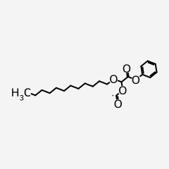 CCCCCCCCCCCCOC(O[C]=O)C(=O)Oc1ccccc1